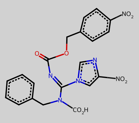 O=C(N=C(N(Cc1ccccc1)C(=O)O)n1cnc([N+](=O)[O-])c1)OCc1ccc([N+](=O)[O-])cc1